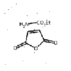 CCOC(N)=O.O=C1C=CC(=O)O1